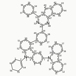 C1=CC(n2c3ccc(-n4c5ccccc5c5ccccc54)cc3c3c(-c4cccc(-c5nc(-c6ccccc6)c6sc7ccccc7c6n5)c4)cccc32)=CCC1